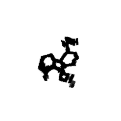 Cn1c2c(c3cccc(F)c31)C(=NO)CCC2